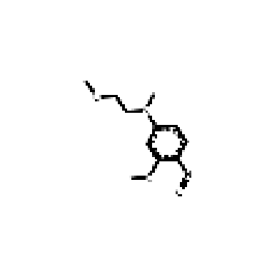 COCCN(C)c1ccc(N=O)c(OC)c1